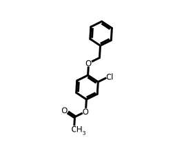 CC(=O)Oc1ccc(OCc2ccccc2)c(Cl)c1